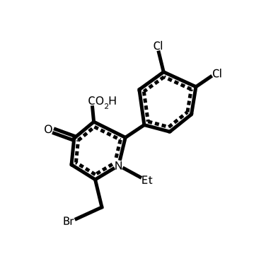 CCn1c(CBr)cc(=O)c(C(=O)O)c1-c1ccc(Cl)c(Cl)c1